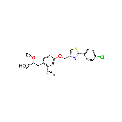 CCOC(Cc1ccc(OCc2csc(-c3ccc(Cl)cc3)n2)cc1C)C(=O)O